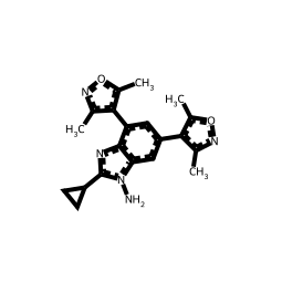 Cc1noc(C)c1-c1cc(-c2c(C)noc2C)c2nc(C3CC3)n(N)c2c1